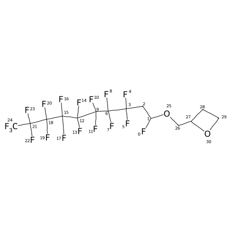 FC(CC(F)(F)C(F)(F)C(F)(F)C(F)(F)C(F)(F)C(F)(F)C(F)(F)C(F)(F)F)OCC1CCO1